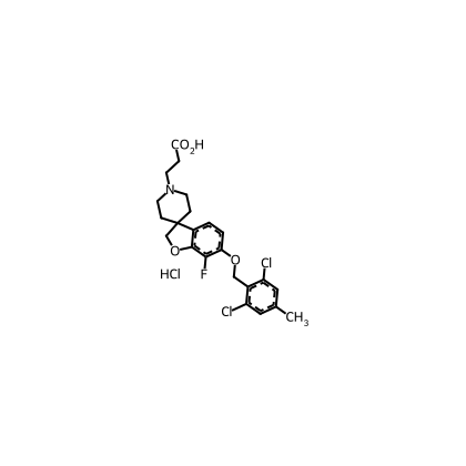 Cc1cc(Cl)c(COc2ccc3c(c2F)OCC32CCN(CCC(=O)O)CC2)c(Cl)c1.Cl